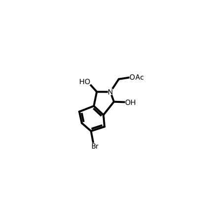 CC(=O)OCN1C(O)c2ccc(Br)cc2C1O